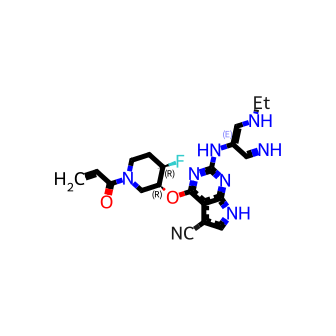 C=CC(=O)N1CC[C@@H](F)[C@H](Oc2nc(N/C(C=N)=C/NCC)nc3[nH]cc(C#N)c23)C1